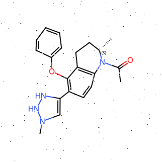 CC(=O)N1c2ccc(C3=CN(C)NN3)c(Oc3ccccc3)c2CC[C@@H]1C